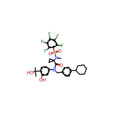 CN(C1(C(=O)N(Cc2ccc(C3CCCCC3)cc2)c2ccc(C(C)(C)O)c(O)c2)CC1)S(=O)(=O)c1c(F)c(F)c(F)c(F)c1F